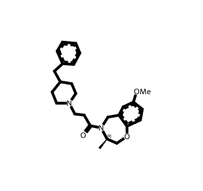 COc1ccc2c(c1)CN(C(=O)CCN1CCC(Cc3ccccc3)CC1)[C@H](C)CO2